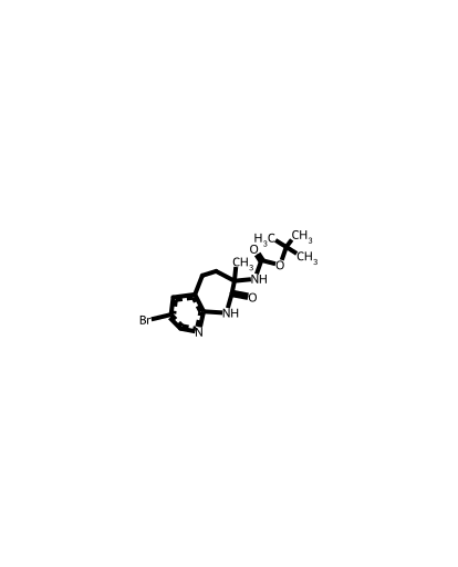 CC(C)(C)OC(=O)NC1(C)CCc2cc(Br)cnc2NC1=O